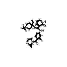 CCC1(n2nc(Nc3ccc(C(=O)N4CCOC5CC54)c(C)c3)c3c(=O)[nH]ccc32)CCN(C(C)(C)C)CC1